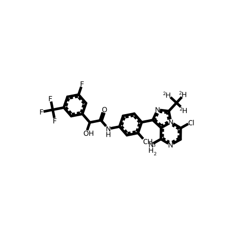 [2H]C([2H])([2H])c1nc(-c2ccc(NC(=O)C(O)c3cc(F)cc(C(F)(F)F)c3)cc2C)c2c(N)ncc(Cl)n12